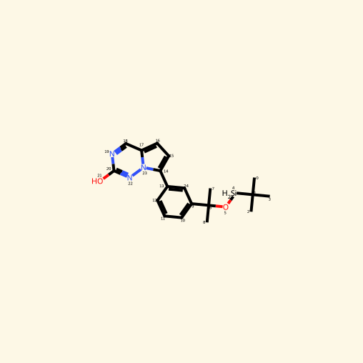 CC(C)(C)[SiH2]OC(C)(C)c1cccc(-c2ccc3cnc(O)nn23)c1